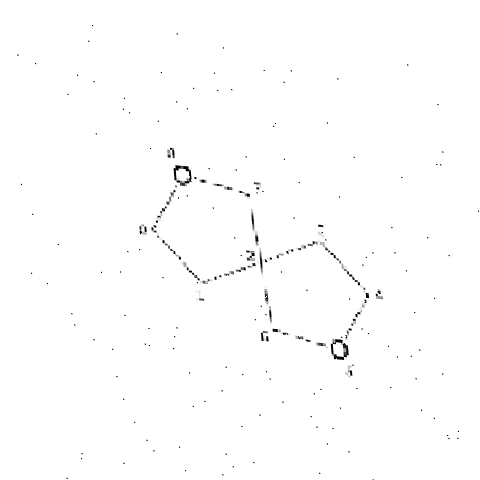 C1CC2(CCOC2)CO1